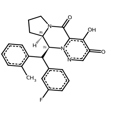 Cc1ccccc1C(c1cccc(F)c1)[C@H]1[C@H]2CCCN2C(=O)c2c(O)c(=O)cnn21